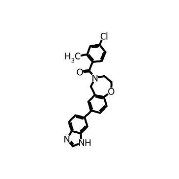 Cc1cc(Cl)ccc1C(=O)N1CCOc2ccc(-c3ccc4nc[nH]c4c3)cc2C1